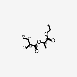 CCOC(=O)C(C)OC(=O)C(C)CC